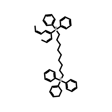 C\C=C/C=C(\C=C/C)[PH](CCCCCCCCC[PH](C1=CC=CCC1)(c1ccccc1)c1ccccc1)(c1ccccc1)c1ccccc1